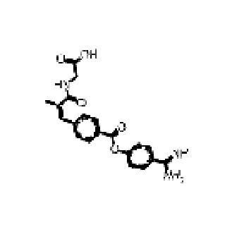 CC(=Cc1ccc(C(=O)Oc2ccc(C(=N)N)cc2)cc1)C(=O)NCC(=O)O